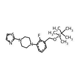 CC(C)(C)[Si](C)(C)OCc1cccc(N2CCN(c3nccs3)CC2)c1F